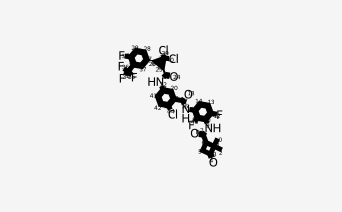 CC1(C)C(=O)CC1C(=O)Nc1c(F)ccc(NC(=O)c2cc(NC(=O)[C@H]3[C@H](c4ccc(F)c(C(F)(F)F)c4)C3(Cl)Cl)ccc2Cl)c1F